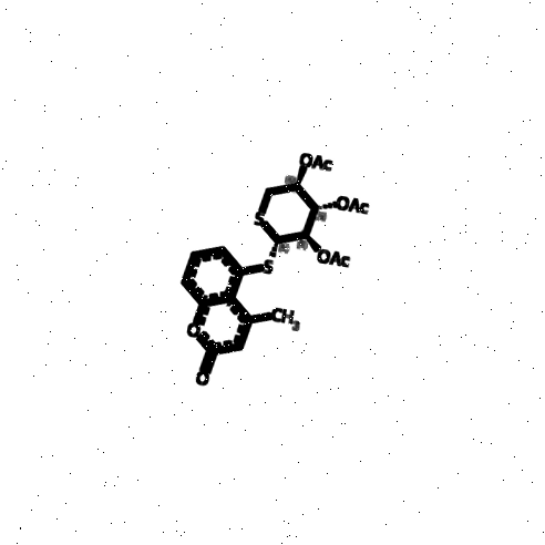 CC(=O)O[C@@H]1[C@@H](OC(C)=O)[C@H](Sc2cccc3oc(=O)cc(C)c23)SC[C@H]1OC(C)=O